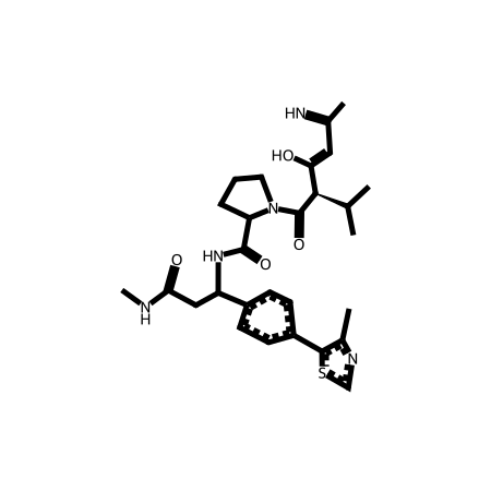 CNC(=O)CC(NC(=O)C1CCCN1C(=O)[C@@H](/C(O)=C/C(C)=N)C(C)C)c1ccc(-c2scnc2C)cc1